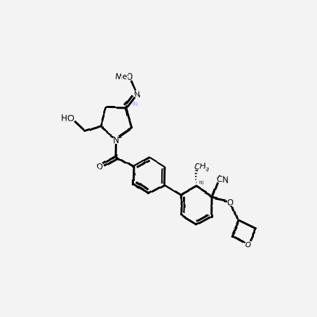 CO/N=C1\CC(CO)N(C(=O)c2ccc(C3=CC=CC(C#N)(OC4COC4)[C@H]3C)cc2)C1